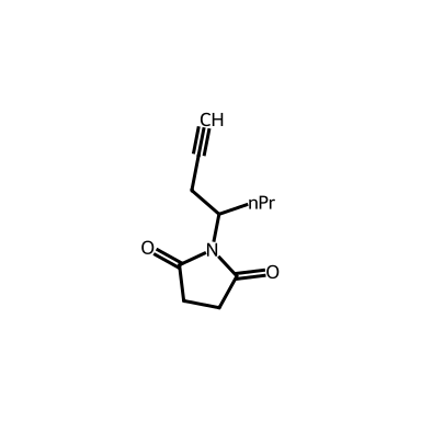 C#CCC(CCC)N1C(=O)CCC1=O